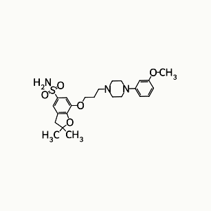 COc1cccc(N2CCN(CCCOc3cc(S(N)(=O)=O)cc4c3OC(C)(C)C4)CC2)c1